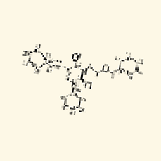 CN(C(=O)C(CCOCc1ccccc1)C(=O)COCc1ccccc1)c1ccccc1